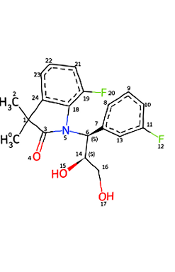 CC1(C)C(=O)N([C@@H](c2cccc(F)c2)[C@H](O)CO)c2c(F)cccc21